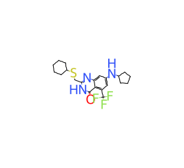 O=c1[nH]c(CSC2CCCCC2)nc2cc(NC3CCCC3)cc(C(F)(F)F)c12